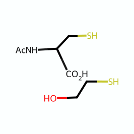 CC(=O)NC(CS)C(=O)O.OCCS